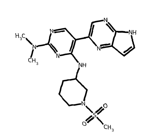 CN(C)c1ncc(-c2cnc3[nH]ccc3n2)c(NC2CCCN(S(C)(=O)=O)C2)n1